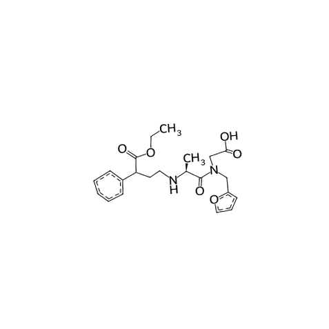 CCOC(=O)C(CCN[C@@H](C)C(=O)N(CC(=O)O)Cc1ccco1)c1ccccc1